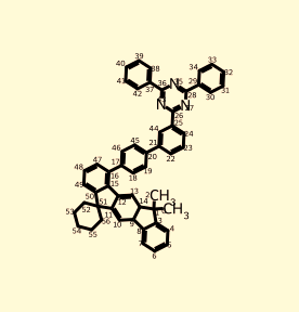 CC1(C)c2ccccc2C2C=C3C(=CC21)c1c(-c2ccc(-c4cccc(-c5nc(-c6ccccc6)nc(-c6ccccc6)n5)c4)cc2)cccc1C31CCCCC1